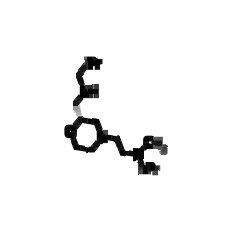 CCCN(C)CCN1CCO[C@H](CNCC(C)C)C1